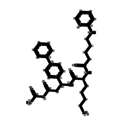 NCCCC[C@H](NC(=O)CCCCNc1ccccn1)C(=O)NC(CC(=O)OC(=O)C(F)(F)F)c1ccc(-c2ccccc2)cc1